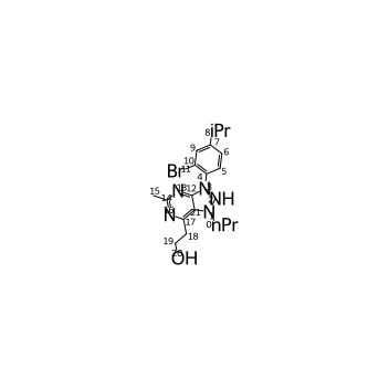 CCCN1NN(c2ccc(C(C)C)cc2Br)c2nc(C)nc(CCO)c21